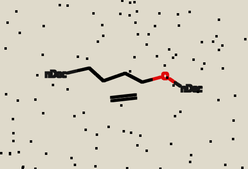 C=C.CCCCCCCCCCCCCCOCCCCCCCCCC